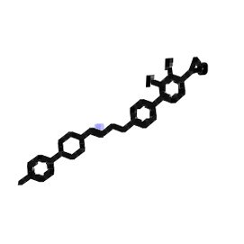 Cc1ccc(C2CCC(/C=C/CCc3ccc(-c4ccc(C5CO5)c(F)c4F)cc3)CC2)cc1